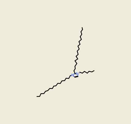 CCCCCCCCCCCCCCCCCCCc1n(CCCCCCCCCCCCCCCCC)cc[n+]1CCCCCCC